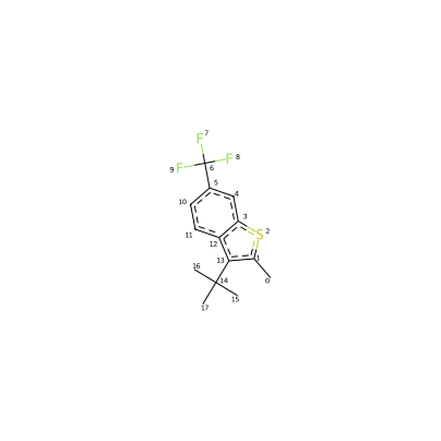 Cc1sc2cc(C(F)(F)F)ccc2c1C(C)(C)C